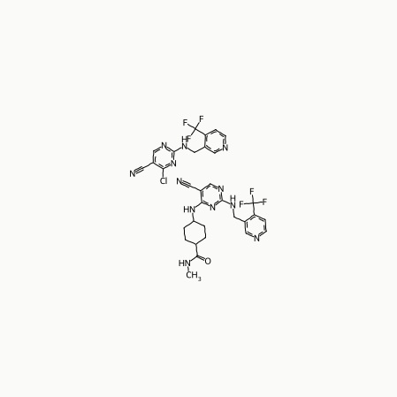 CNC(=O)C1CCC(Nc2nc(NCc3cnccc3C(F)(F)F)ncc2C#N)CC1.N#Cc1cnc(NCc2cnccc2C(F)(F)F)nc1Cl